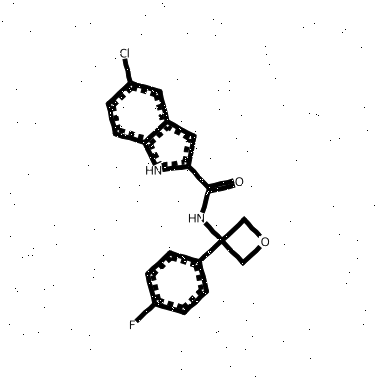 O=C(NC1(c2ccc(F)cc2)COC1)c1cc2cc(Cl)ccc2[nH]1